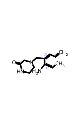 C=C/C=C(CN1CCNC(=O)C1)\C(N)=C/C